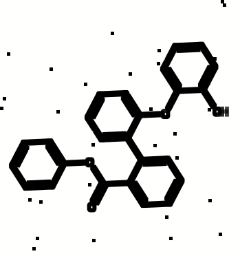 O=C(Oc1ccccc1)c1ccccc1-c1ccccc1Oc1ccccc1O